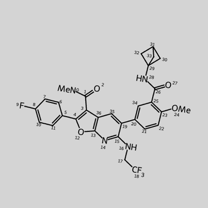 CNC(=O)c1c(-c2ccc(F)cc2)oc2nc(NCC(F)(F)F)c(-c3ccc(OC)c(C(=O)NC45CC(C4)C5)c3)cc12